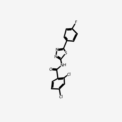 O=C(Nc1nnc(-c2ccc(F)cc2)s1)c1ccc(Cl)cc1Cl